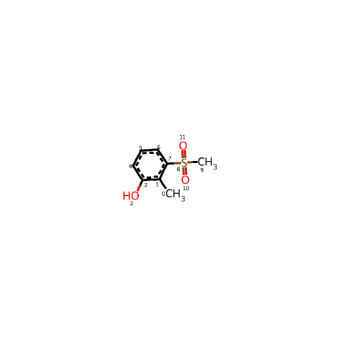 Cc1c(O)cccc1S(C)(=O)=O